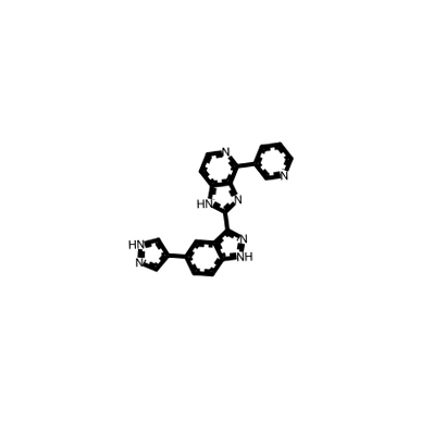 c1cncc(-c2nccc3[nH]c(-c4n[nH]c5ccc(-c6cn[nH]c6)cc45)nc23)c1